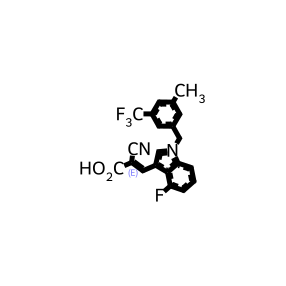 Cc1cc(Cn2cc(/C=C(\C#N)C(=O)O)c3c(F)cccc32)cc(C(F)(F)F)c1